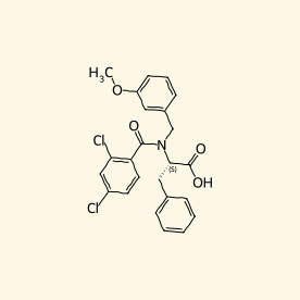 COc1cccc(CN(C(=O)c2ccc(Cl)cc2Cl)[C@@H](Cc2ccccc2)C(=O)O)c1